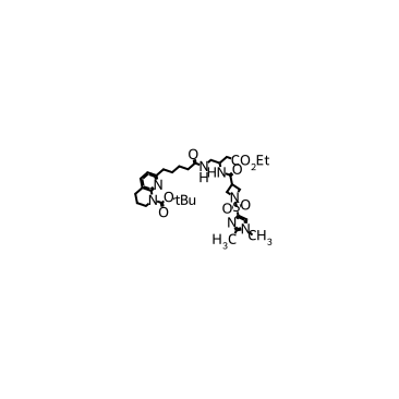 CCOC(=O)CC(CNC(=O)CCCCc1ccc2c(n1)N(C(=O)OC(C)(C)C)CCC2)NC(=O)C1CN(S(=O)(=O)c2cn(C)c(C)n2)C1